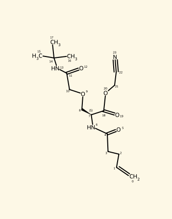 C=CCCC(=O)N[C@@H](COCC(=O)NC(C)(C)C)C(=O)OCC#N